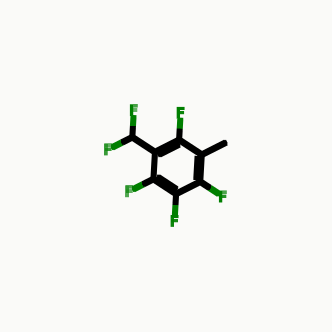 Cc1c(F)c(F)c(F)c(C(F)F)c1F